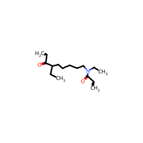 C=CC(=O)C(CC)CCCCCN(CC)C(=O)C=C